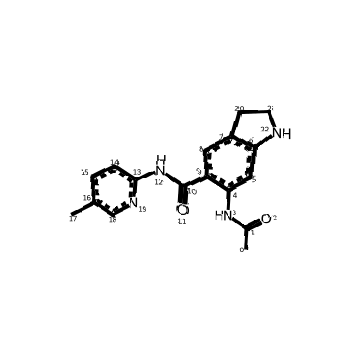 CC(=O)Nc1cc2c(cc1C(=O)Nc1ccc(C)cn1)CCN2